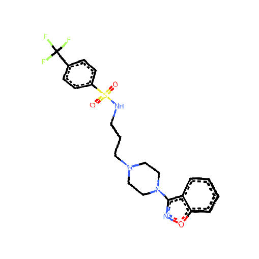 O=S(=O)(NCCCN1CCN(c2noc3ccccc23)CC1)c1ccc(C(F)(F)F)cc1